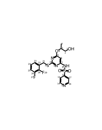 CC(CO)Oc1cc(NS(=O)(=O)c2ccncc2)nc(SCc2cccc(F)c2F)n1